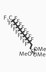 CO[Si](CCC(F)(F)C(F)(F)C(F)(F)C(F)(F)C(F)(F)C(F)(F)C(F)(F)C(F)(F)C(F)(F)F)(OC)OC